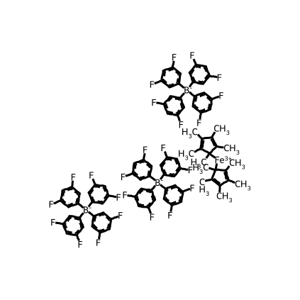 CC1=C(C)[C](C)([Fe+3][C]2(C)C(C)=C(C)C(C)=C2C)C(C)=C1C.Fc1cc(F)cc([B-](c2cc(F)cc(F)c2)(c2cc(F)cc(F)c2)c2cc(F)cc(F)c2)c1.Fc1cc(F)cc([B-](c2cc(F)cc(F)c2)(c2cc(F)cc(F)c2)c2cc(F)cc(F)c2)c1.Fc1cc(F)cc([B-](c2cc(F)cc(F)c2)(c2cc(F)cc(F)c2)c2cc(F)cc(F)c2)c1